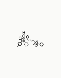 Cc1ccc(N2C(=O)C(O)=C(C(=O)CCC=Cc3nc(-c4ccccc4)oc3C)C2C2CCCCC2)cc1